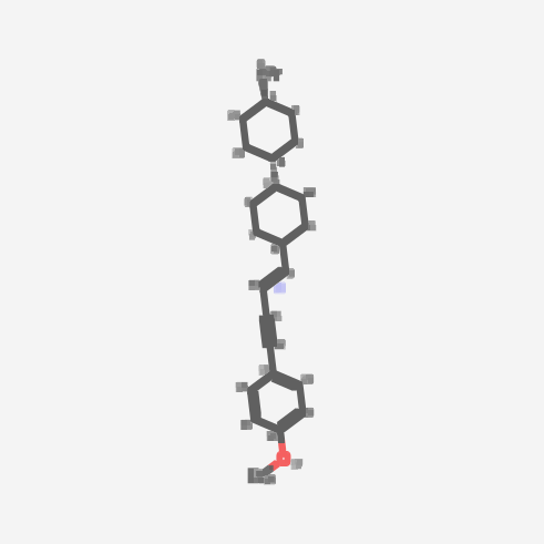 CCC[C@H]1CC[C@H](C2CCC(/C=C/C#Cc3ccc(OCC)cc3)CC2)CC1